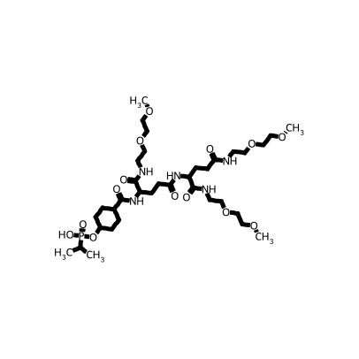 COCCOCCNC(=O)CCC(NC(=O)CCC(NC(=O)C1CCC(OP(=O)(O)C(C)C)CC1)C(=O)NCCOCCOC)C(=O)NCCOCCOC